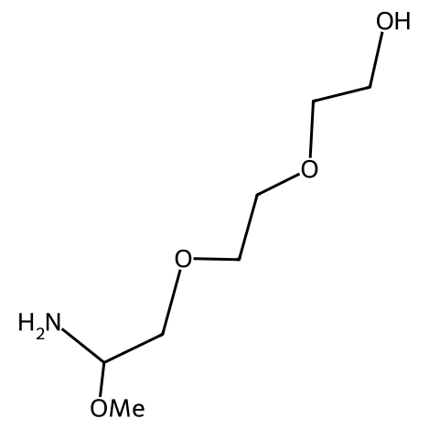 COC(N)COCCOCCO